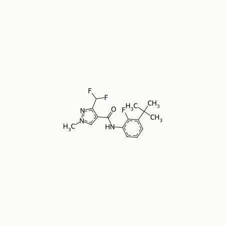 Cn1cc(C(=O)Nc2cccc(C(C)(C)C)c2F)c(C(F)F)n1